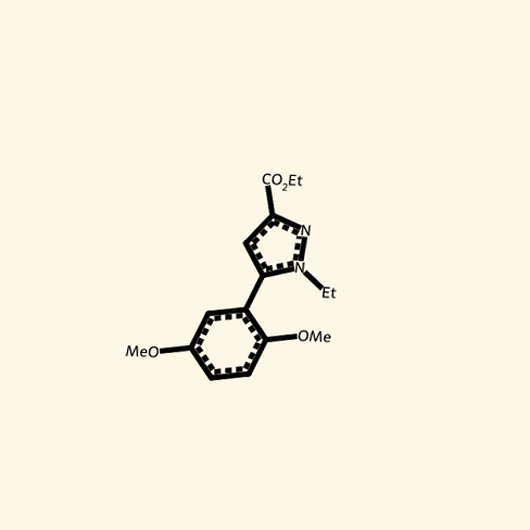 CCOC(=O)c1cc(-c2cc(OC)ccc2OC)n(CC)n1